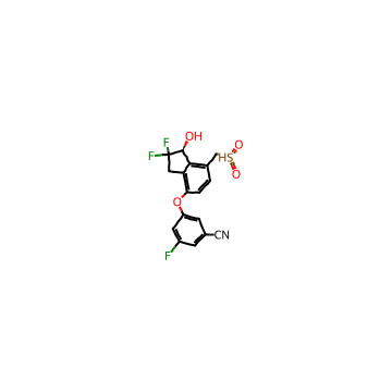 N#Cc1cc(F)cc(Oc2ccc(C[SH](=O)=O)c3c2CC(F)(F)[C@H]3O)c1